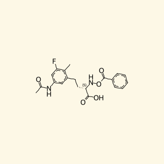 CC(=O)Nc1cc(F)c(C)c(CC[C@H](NOC(=O)c2ccccc2)C(=O)O)c1